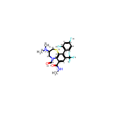 CNC(=O)c1cc(C(F)(F)F)c(-c2ccc(F)cc2F)c2c1N(C=O)CC(N(C)C)CS2